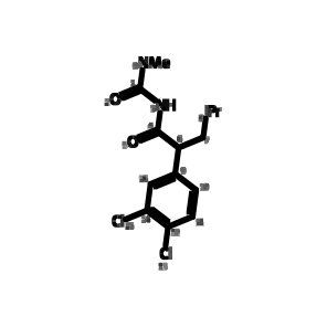 CNC(=O)NC(=O)C(CC(C)C)c1ccc(Cl)c(Cl)c1